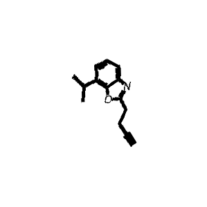 C#CCCc1nc2cccc(C(C)C)c2o1